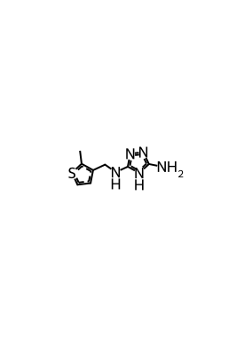 Cc1sccc1CNc1nnc(N)[nH]1